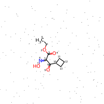 CCOC(=O)/C(=N/O)C(=O)C1CCC1